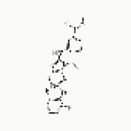 CCn1c(Nc2cccc(C(=O)OC)c2)nc2cnc(Oc3c(F)cccc3F)nc21